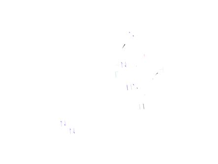 C[C@@H]1[C@H](C)[C@@H]2C[C@@H]1[C@@H](C(=O)N[C@H](C#N)Cc1ccc(-c3ccc4c(cnn4C)c3)cc1F)N2